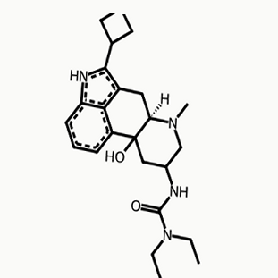 CCN(CC)C(=O)NC1CN(C)[C@@H]2Cc3c(C4CCC4)[nH]c4cccc(c34)C2(O)C1